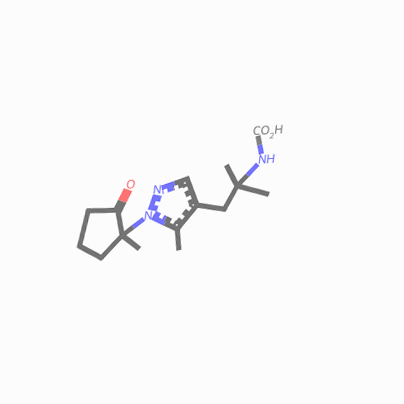 Cc1c(CC(C)(C)NC(=O)O)cnn1C1(C)CCCC1=O